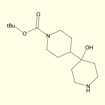 CC(C)(C)OC(=O)N1CCC(C2(O)CCNCC2)CC1